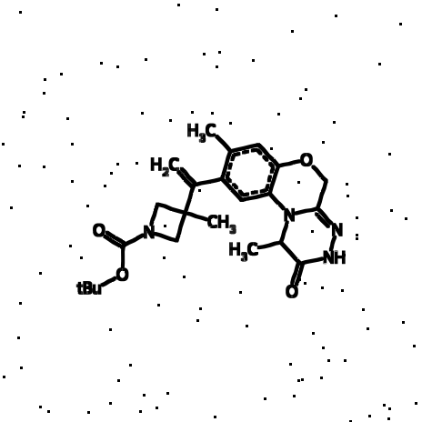 C=C(c1cc2c(cc1C)OCC1=NNC(=O)C(C)N12)C1(C)CN(C(=O)OC(C)(C)C)C1